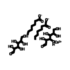 CCCCCCC(=O)[O-].CCCCCCC(=O)[O-].O=CC(O)C(O)C(O)C(O)CO.O=CC(O)C(O)C(O)C(O)CO.[Ca+2]